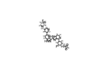 CS(=O)(=O)NCc1cc(F)cc(-c2nccc3[nH]c(-c4n[nH]c5ccc(-c6cncc(CN7CCC(F)(F)C7)c6)nc45)nc23)c1